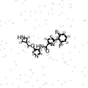 O=C(Nc1cnsc1OCC1CNC1)c1csc(-c2c(F)cccc2F)n1